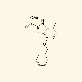 COC(=O)c1cc2c(OCc3ccccc3)ccc(I)c2[nH]1